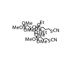 CCO[Si](CCCSC#N)(OCC)OCC.CO[Si](CCCSC#N)(OC)OC.CO[Si](CSC#N)(OC)OC